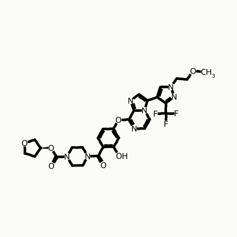 COCCn1cc(-c2cnc3c(Oc4ccc(C(=O)N5CCN(C(=O)O[C@H]6CCOC6)CC5)c(O)c4)nccn23)c(C(F)(F)F)n1